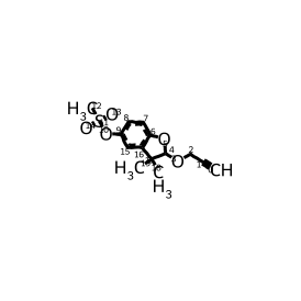 C#CCOC1Oc2ccc(OS(C)(=O)=O)cc2C1(C)C